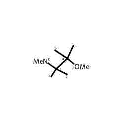 CNC(C)(C)C(C)(C)OC